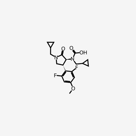 COc1cc(F)c([C@@H]2CN(CC3CC3)C(=O)[C@H]2N(CC2CC2)C(=O)O)c(F)c1